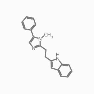 Cn1c(-c2ccccc2)cnc1CCc1cc2ccccc2[nH]1